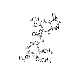 COc1cc2[nH]cnc2cc1[S+]([O-])Cc1ncc(C)c(OC)c1C